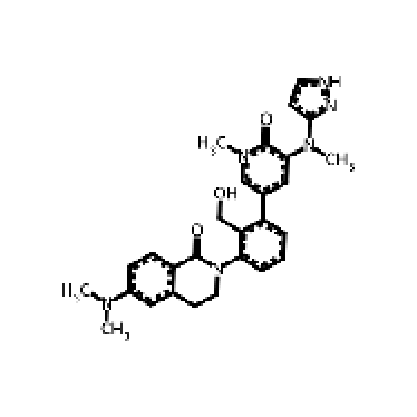 CN(C)c1ccc2c(c1)CCN(c1cccc(-c3cc(N(C)c4cc[nH]n4)c(=O)n(C)c3)c1CO)C2=O